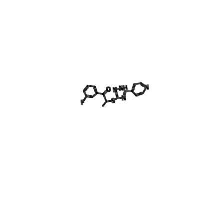 CC(Sc1n[nH]c(-c2ccncc2)n1)C(=O)c1cccc(F)c1